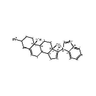 CC(C)C1CC[C@@]2(C)C(=CCC3C2CC[C@]2(C)C(n4cnc5ccccc54)=CCC32)C1